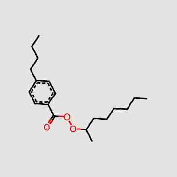 CCCCCC[C](C)OOC(=O)c1ccc(CCCC)cc1